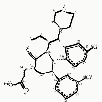 CC[C@@H](CN1CCOCC1)N1C(=O)[C@@H](CC(=O)O)C[C@H](c2cccc(Cl)c2)[C@H]1c1ccc(Cl)cc1